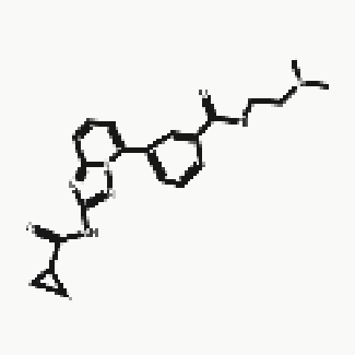 CN(C)CCNC(=O)c1cccc(-c2cccc3nc(NC(=O)C4CC4)nn23)c1